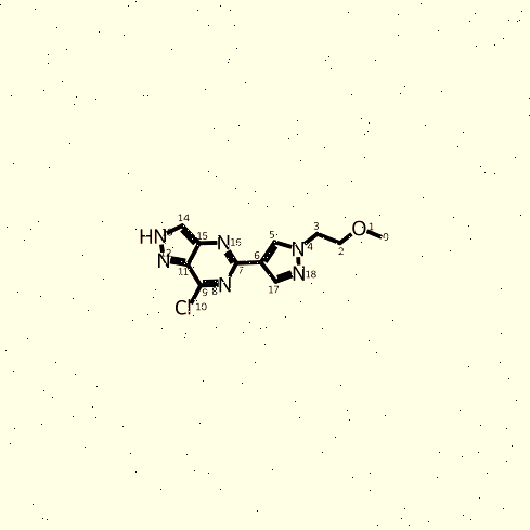 COCCn1cc(-c2nc(Cl)c3n[nH]cc3n2)cn1